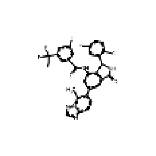 Cc1c(-c2cc(NC(=O)c3cc(F)cc(C(F)(F)F)c3)c3c(c2)C(=O)NC3c2cc(F)ccc2Cl)ccc2ncnn12